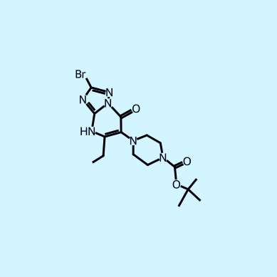 CCc1[nH]c2nc(Br)nn2c(=O)c1N1CCN(C(=O)OC(C)(C)C)CC1